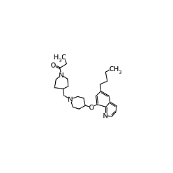 CCCCc1cc(OC2CCN(CC3CCN(C(=O)CC)CC3)CC2)c2ncccc2c1